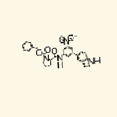 O=C(Nc1cc(-c2ccc3[nH]ccc3c2)cc([N+](=O)[O-])c1)C1CCCN1C(=O)OCc1ccccc1